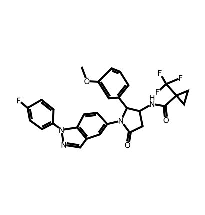 COc1cccc(C2C(NC(=O)C3(C(F)(F)F)CC3)CC(=O)N2c2ccc3c(cnn3-c3ccc(F)cc3)c2)c1